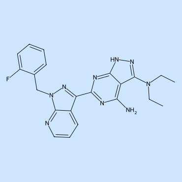 CCN(CC)c1n[nH]c2nc(-c3nn(Cc4ccccc4F)c4ncccc34)nc(N)c12